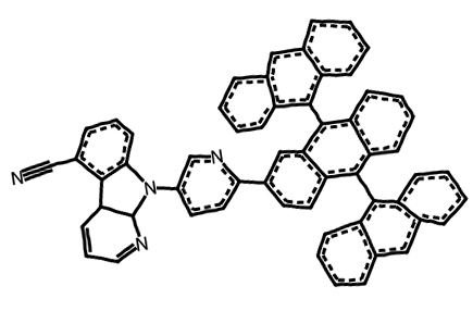 N#Cc1cccc2c1C1C=CC=NC1N2c1ccc(-c2ccc3c(-c4c5ccccc5cc5ccccc45)c4ccccc4c(-c4c5ccccc5cc5ccccc45)c3c2)nc1